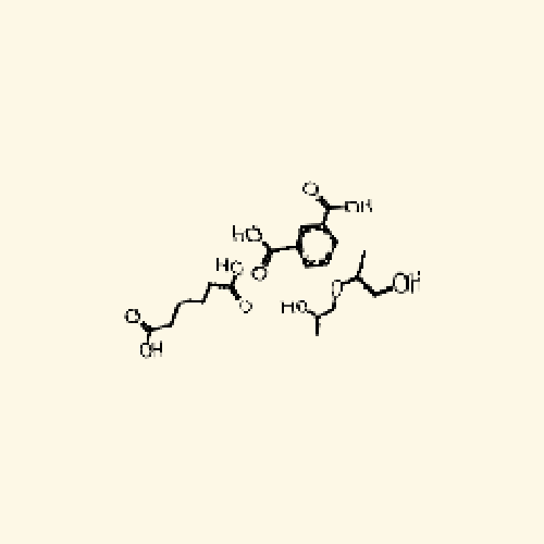 CC(O)COC(C)CO.O=C(O)CCCCC(=O)O.O=C(O)c1cccc(C(=O)O)c1